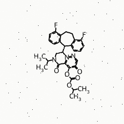 CC(C)OC(=O)Oc1c2n(ncc1=O)C(C1c3cccc(F)c3CCc3c(F)cccc31)CN(C(C)C)C2=O